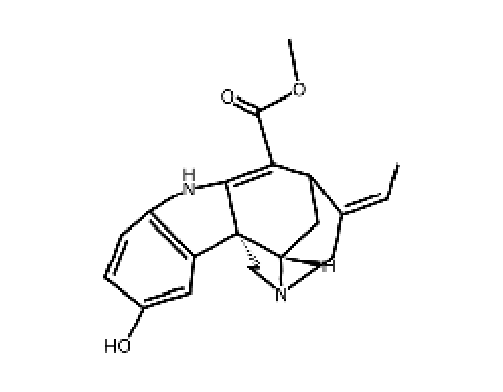 C/C=C1/CN2CC[C@]34C(=C(C(=O)OC)C1C[C@H]23)Nc1ccc(O)cc14